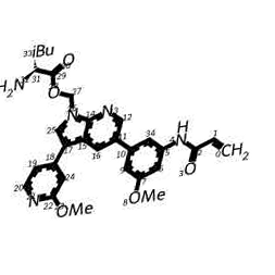 C=CC(=O)Nc1cc(OC)cc(-c2cnc3c(c2)c(-c2ccnc(OC)c2)cn3COC(=O)[C@@H](N)[C@@H](C)CC)c1